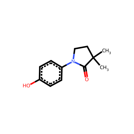 CC1(C)CCN(c2ccc(O)cc2)C1=O